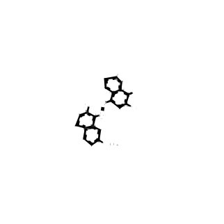 COc1ccc2ccc(O)c(/N=N/c3cc(O)c(S(=O)(=O)O)c4ccccc34)c2c1